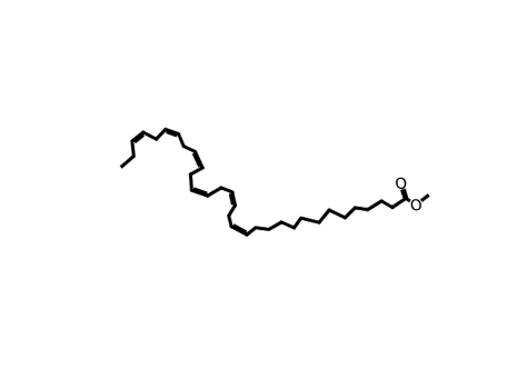 CC/C=C\C/C=C\C/C=C\C/C=C\C/C=C\C/C=C\CCCCCCCCCCCCC(=O)OC